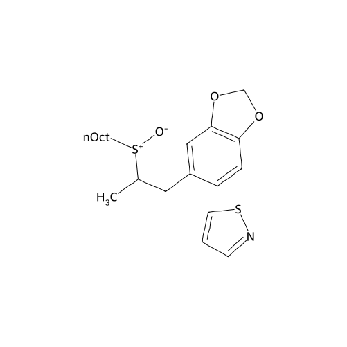 CCCCCCCC[S+]([O-])C(C)Cc1ccc2c(c1)OCO2.c1cnsc1